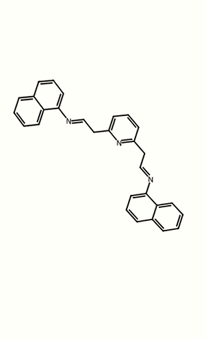 C(Cc1cccc(CC=Nc2cccc3ccccc23)n1)=Nc1cccc2ccccc12